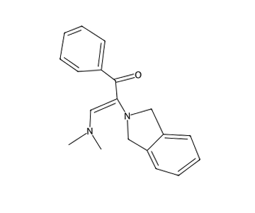 CN(C)/C=C(/C(=O)c1ccccc1)N1Cc2ccccc2C1